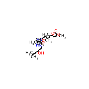 COC1=CC[C@@H]([C@@H](C)CC(C)/C=C\C(=O)N[C@H](C(=O)N/C=C\C[C@@H](O)CC=C(C)C)C(C)(C)C)OC1=O